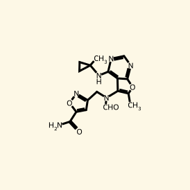 Cc1oc2ncnc(NC3(C)CC3)c2c1N(C=O)Cc1cc(C(N)=O)on1